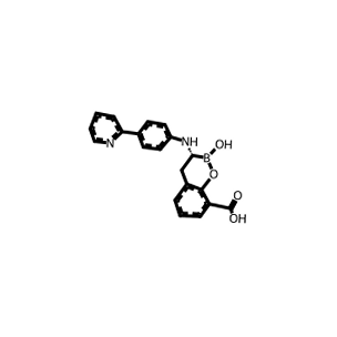 O=C(O)c1cccc2c1OB(O)[C@@H](Nc1ccc(-c3ccccn3)cc1)C2